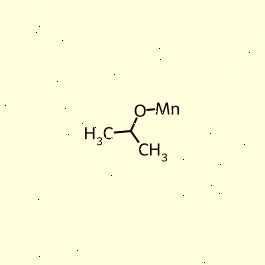 CC(C)[O][Mn]